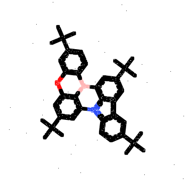 CC(C)(C)c1ccc2c(c1)Oc1cc(C(C)(C)C)cc3c1B2c1cc(C(C)(C)C)cc2c4cc(C(C)(C)C)ccc4n-3c12